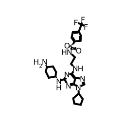 N[C@H]1CC[C@H](Nc2nc(NCCNS(=O)(=O)c3ccc(C(F)(F)F)cc3)c3ncn(C4CCCC4)c3n2)CC1